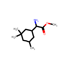 COC(=O)C(N)[C]1CC(C)CC(C)(C)C1